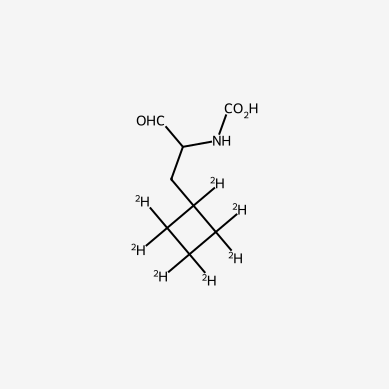 [2H]C1([2H])C([2H])([2H])C([2H])(CC(C=O)NC(=O)O)C1([2H])[2H]